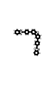 c1ccc2oc(-c3ccc(-c4ccc5oc6ccc(-c7ccc(-c8nc9ccccc9s8)cc7)cc6c5c4)cc3)nc2c1